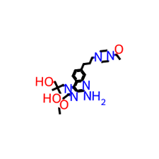 CCOCc1nc2c(N)nc3cc(CCCN4CCN(C(C)=O)CC4)ccc3c2n1CC(C)(CO)CO